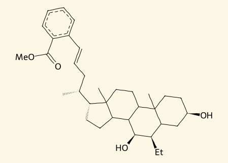 CC[C@@H]1C2C[C@H](O)CCC2(C)C2CCC3(C)C(CC[C@@H]3[C@H](C)C/C=C/c3ccccc3C(=O)OC)C2[C@@H]1O